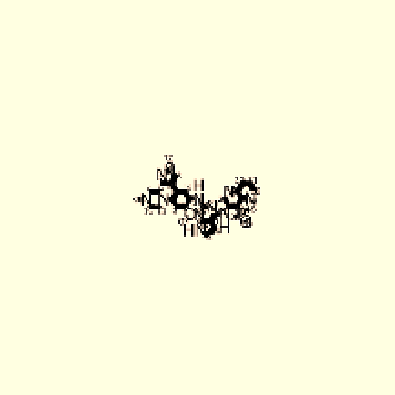 COc1cc(N2CCN(C)CC2)c(-c2cnn(C)c2)cc1Nc1nc(Nc2cnc3cccnc3c2P(C)(C)=O)c2cc[nH]c2n1